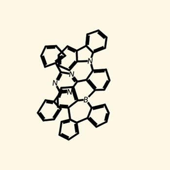 c1ccc(-c2nc(-c3ccccc3)nc(-c3c(B4c5ccccc5-c5ccccc5-c5ccccc54)cccc3-n3c4ccccc4c4ccccc43)n2)cc1